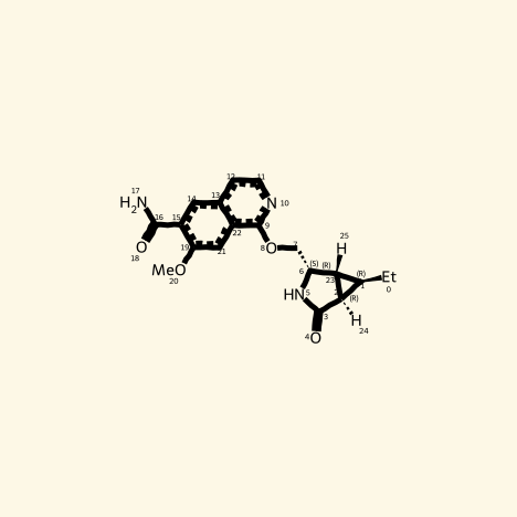 CC[C@H]1[C@H]2C(=O)N[C@H](COc3nccc4cc(C(N)=O)c(OC)cc34)[C@H]12